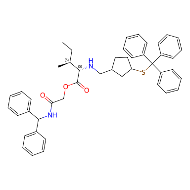 CC[C@H](C)[C@H](NCC1CCC(SC(c2ccccc2)(c2ccccc2)c2ccccc2)C1)C(=O)OCC(=O)NC(c1ccccc1)c1ccccc1